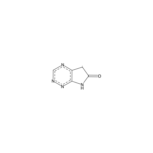 O=C1[CH]c2ncnnc2N1